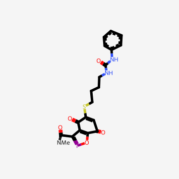 CNC(=O)C1=IOC2=C1C(=O)C(SCCCCNC(=O)Nc1ccccc1)=CC2=O